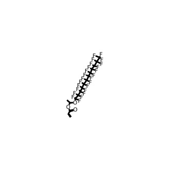 C=CC(=O)OC(C)OC(F)(F)C(F)(F)C(F)(F)C(F)(F)C(F)(F)C(F)(F)C(F)(F)C(F)(F)C(F)(F)C(F)(F)C(F)(F)C(F)(F)F